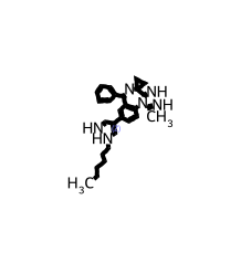 CCCCCCN/C=C(\C=N)c1ccc2c(c1)C(c1ccccc1)=NC1(CC1)C(=N)N2C(C)=N